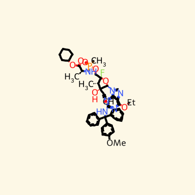 C#C[C@]1(O)[C@H](n2cnc3c(OCC)nc(NC(c4ccccc4)(c4ccccc4)c4ccc(OC)cc4)nc32)O[C@](F)(COP(C)(=O)N[C@@H](C)C(=O)OC2CCCCC2)[C@H]1C